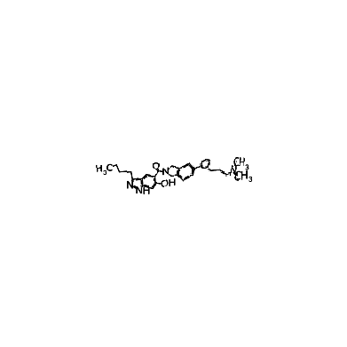 CCCCc1n[nH]c2cc(O)c(C(=O)N3Cc4ccc(OCCCN(C)C)cc4C3)cc12